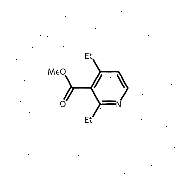 CCc1ccnc(CC)c1C(=O)OC